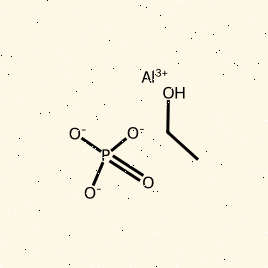 CCO.O=P([O-])([O-])[O-].[Al+3]